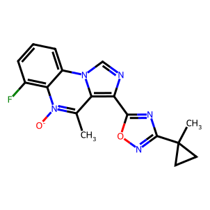 Cc1c2c(-c3nc(C4(C)CC4)no3)ncn2c2cccc(F)c2[n+]1[O-]